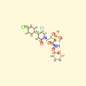 C[C@@](CCn1cc(F)c(-c2ccc(Cl)cc2)cc1=O)(C(=O)NOC1CCCCO1)S(C)(=O)=O